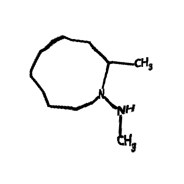 CNN1CCCCCCC1C